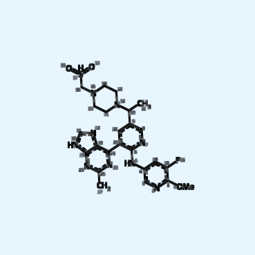 COc1ncc(Nc2ncc(C(C)N3CCN(C[SH](=O)=O)CC3)cc2-c2nc(C)nc3[nH]cnc23)cc1F